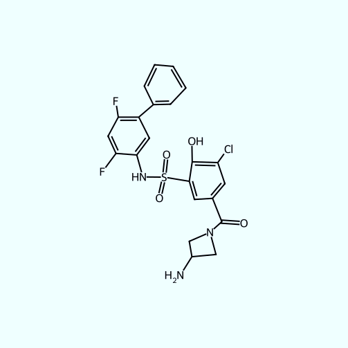 NC1CN(C(=O)c2cc(Cl)c(O)c(S(=O)(=O)Nc3cc(-c4ccccc4)c(F)cc3F)c2)C1